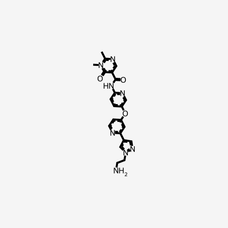 Cc1ncc(C(=O)Nc2ccc(Oc3ccnc(-c4cnn(CCN)c4)c3)cn2)c(=O)n1C